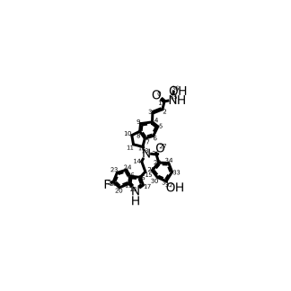 O=C(/C=C/c1ccc2c(c1)CCC2N(CCc1c[nH]c2cc(F)ccc12)C(=O)c1ccc(O)cc1)NO